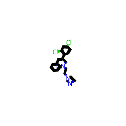 Clc1ccc(C(=Cc2ccccc2)CNCCn2ccnc2)c(Cl)c1